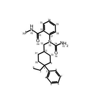 CCC1(c2ccccc2)CCC(CN(C(N)=O)c2ccccc2C(=O)NI)CC1